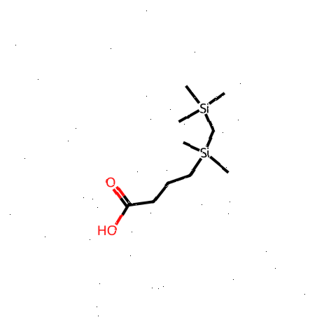 C[Si](C)(C)C[Si](C)(C)CCCC(=O)O